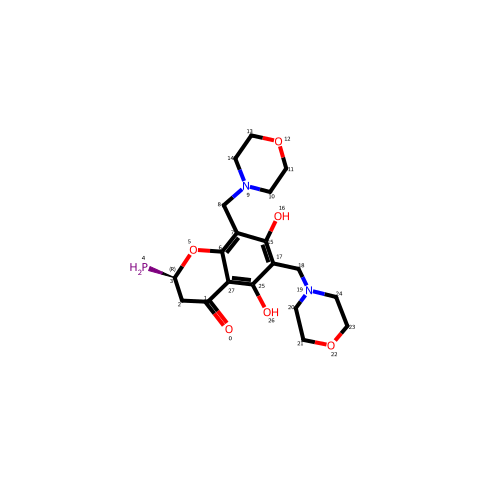 O=C1C[C@@H](P)Oc2c(CN3CCOCC3)c(O)c(CN3CCOCC3)c(O)c21